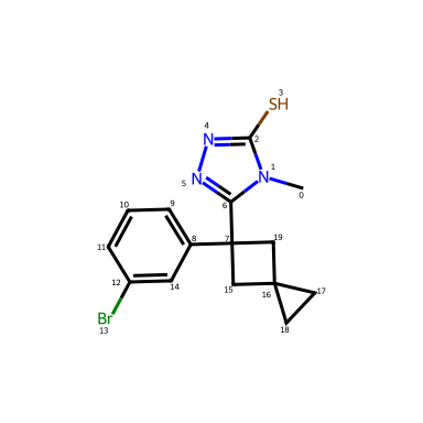 Cn1c(S)nnc1C1(c2cccc(Br)c2)CC2(CC2)C1